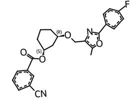 Cc1oc(-c2ccc(F)cc2)nc1CO[C@@H]1CCC[C@H](OC(=O)c2cccc(C#N)c2)C1